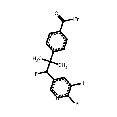 CC(C)C(=O)c1ccc(C(C)(C)C(F)c2cnc(C(C)C)c(Cl)c2)cc1